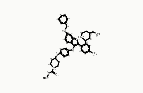 CC(C)(C)OC(=O)N1CCC(Oc2ccc(Oc3c(-c4ccc(C(F)(F)F)cc4C4CC(CO)CCN4)sc4cc(OCc5ccccc5)ccc34)cc2)CC1